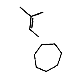 C1CCCCCC1.CC=C(C)C